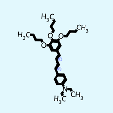 CCCCOc1cc(/C=C/C=C/c2ccc(N(CC)CC)cc2)cc(OCCCC)c1OCCCC